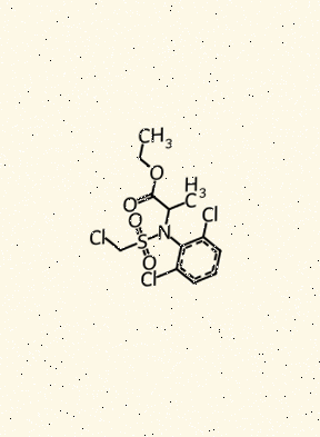 CCOC(=O)C(C)N(c1c(Cl)cccc1Cl)S(=O)(=O)CCl